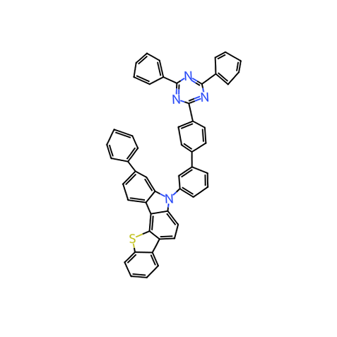 c1ccc(-c2ccc3c4c5sc6ccccc6c5ccc4n(-c4cccc(-c5ccc(-c6nc(-c7ccccc7)nc(-c7ccccc7)n6)cc5)c4)c3c2)cc1